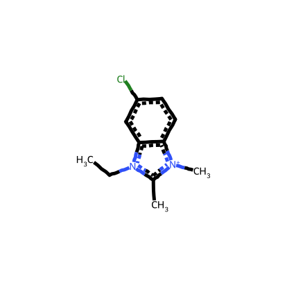 CCn1c(C)[n+](C)c2ccc(Cl)cc21